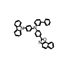 c1ccc(-c2cccc(N(c3ccc(-c4nc5ccc6ccccc6c5o4)cc3)c3ccc(-n4c5ccccc5c5ccccc54)cc3)c2)cc1